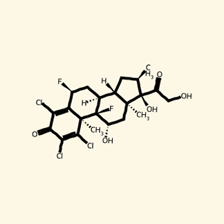 C[C@@H]1C[C@H]2[C@@H]3C[C@H](F)C4=C(Cl)C(=O)C(Cl)=C(Cl)[C@]4(C)[C@@]3(F)[C@@H](O)C[C@]2(C)[C@@]1(O)C(=O)CO